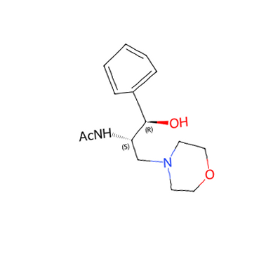 CC(=O)N[C@@H](CN1CCOCC1)[C@H](O)c1ccccc1